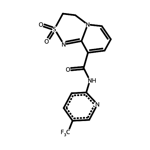 O=C(Nc1ccc(C(F)(F)F)cn1)C1=CC=CN2CCS(=O)(=O)N=C12